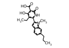 CCCc1ccc2cc(-c3[nH]c(=O)c(C(=O)O)c(O)c3CC)n(C)c2c1